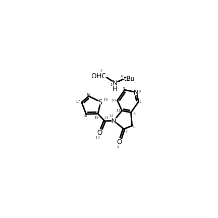 CC(C)(C)NC=O.O=C1Cc2cnccc2N1C(=O)c1cccs1